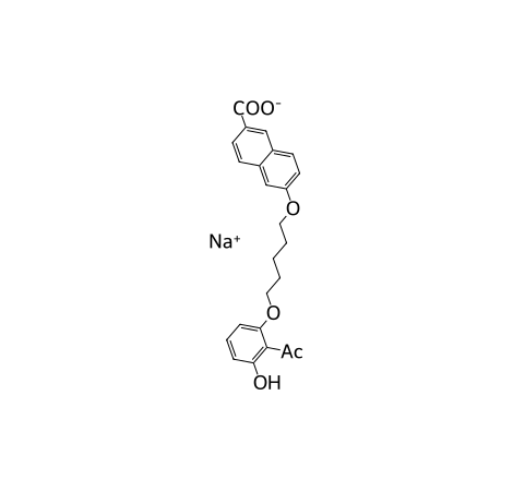 CC(=O)c1c(O)cccc1OCCCCCOc1ccc2cc(C(=O)[O-])ccc2c1.[Na+]